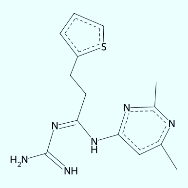 Cc1cc(N/C(CCc2cccs2)=N\C(=N)N)nc(C)n1